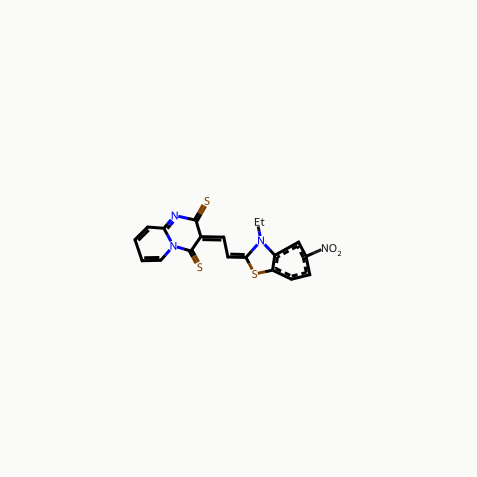 CCN1C(=CC=C2C(=S)N=C3C=CC=CN3C2=S)Sc2ccc([N+](=O)[O-])cc21